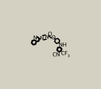 N#Cc1ccc(N[C@H]2CC[C@H](OCC(=O)N3CCN(c4cnc5ccccc5c4)CC3)CC2)cc1C(F)(F)F